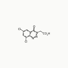 O=C(O)Cn1nnc2c(Cl)cc(Cl)cc2c1=O